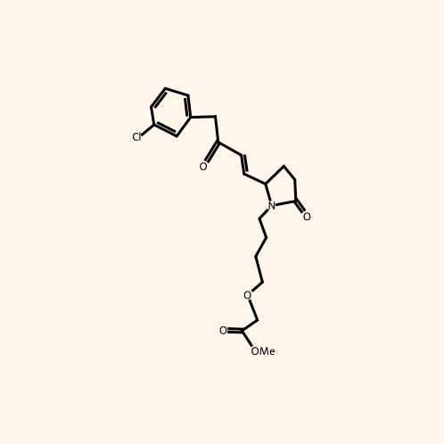 COC(=O)COCCCCN1C(=O)CCC1C=CC(=O)Cc1cccc(Cl)c1